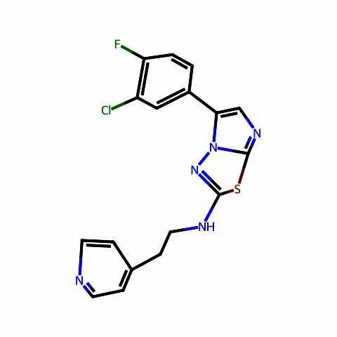 Fc1ccc(-c2cnc3sc(NCCc4ccncc4)nn23)cc1Cl